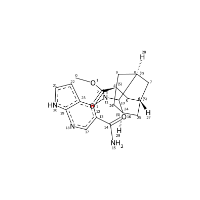 COC(=O)[C@]12C[C@@H]3C[C@H](C1)C(Nc1c(C(N)=O)cnc4[nH]ccc14)[C@@H](C3)C2